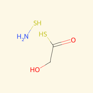 NS.O=C(S)CO